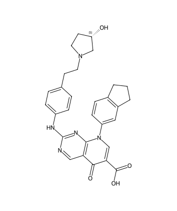 O=C(O)c1cn(-c2ccc3c(c2)CCC3)c2nc(Nc3ccc(CCN4CC[C@H](O)C4)cc3)ncc2c1=O